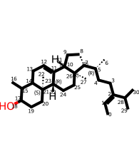 CC=C(CC[C@@H](C)[C@H]1CC[C@H]2C3=CCC4C(C)C(O)CC[C@]4(C)[C@H]3CC[C@]12C)C(C)C